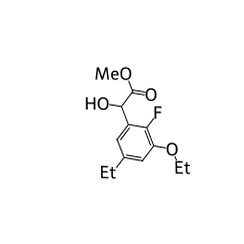 CCOc1cc(CC)cc(C(O)C(=O)OC)c1F